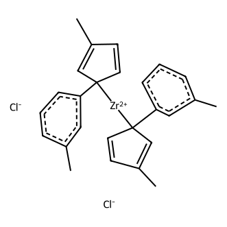 CC1=C[C]([Zr+2][C]2(c3cccc(C)c3)C=CC(C)=C2)(c2cccc(C)c2)C=C1.[Cl-].[Cl-]